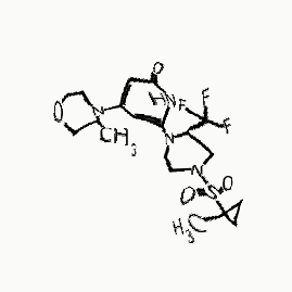 CC1COCCN1c1cc(N2CCN(S(=O)(=O)C3(C)CC3)CC2C(F)(F)F)[nH]c(=O)c1